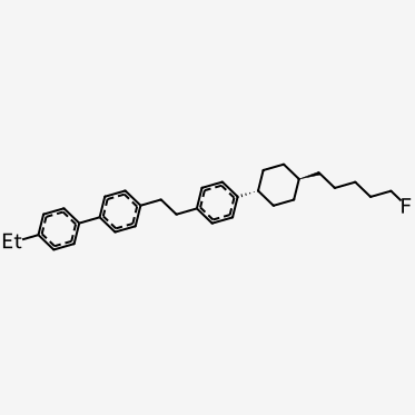 CCc1ccc(-c2ccc(CCc3ccc([C@H]4CC[C@H](CCCCCF)CC4)cc3)cc2)cc1